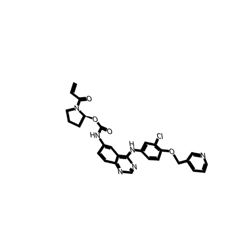 C=CC(=O)N1CCC[C@@H]1OC(=O)Nc1ccc2ncnc(Nc3ccc(OCc4cccnc4)c(Cl)c3)c2c1